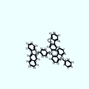 c1ccc(-n2c3ccccc3c3c(N(c4ccc(-n5c6ccccc6c6cc7ccccc7cc65)cc4)c4ccc5c(c4)oc4ccccc45)cccc32)cc1